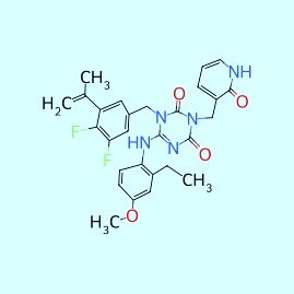 C=C(C)c1cc(Cn2c(Nc3ccc(OC)cc3CC)nc(=O)n(Cc3ccc[nH]c3=O)c2=O)cc(F)c1F